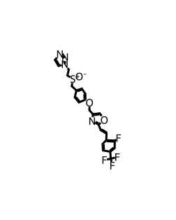 [O-][S+](CCn1ccnn1)Cc1ccc(OCc2coc(/C=C/c3ccc(C(F)(F)F)cc3F)n2)cc1